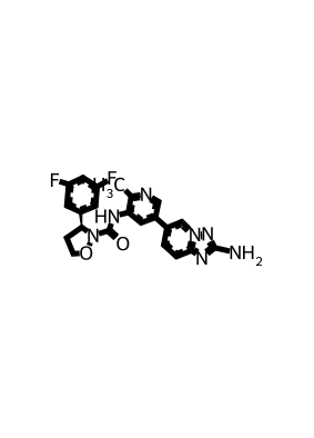 Cc1ncc(-c2ccc3nc(N)nn3c2)cc1NC(=O)N1OCC[C@H]1c1cc(F)cc(F)c1